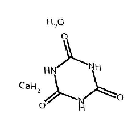 O.O=c1[nH]c(=O)[nH]c(=O)[nH]1.[CaH2]